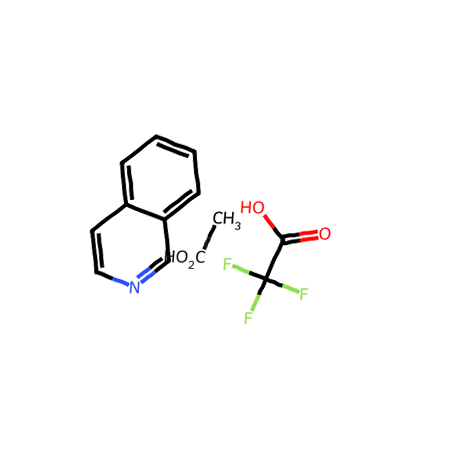 CC(=O)O.O=C(O)C(F)(F)F.c1ccc2cnccc2c1